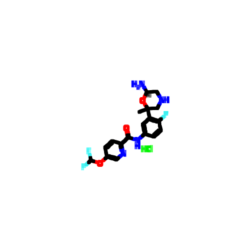 CC1(c2cc(NC(=O)c3ccc(OC(F)F)cn3)ccc2F)CNC[C@H](N)O1.Cl